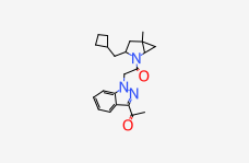 CC(=O)c1nn(CC(=O)N2C(CC3CCC3)CC3(C)CC23)c2ccccc12